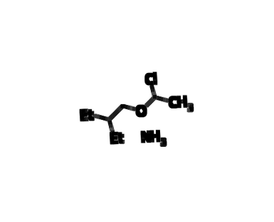 CCC(CC)COC(C)Cl.N